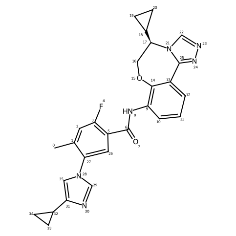 Cc1cc(F)c(C(=O)Nc2cccc3c2OC[C@@H](C2CC2)n2cnnc2-3)cc1-n1cnc(C2CC2)c1